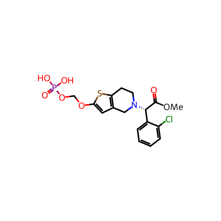 COC(=O)[C@H](c1ccccc1Cl)N1CCc2sc(OCOP(=O)(O)O)cc2C1